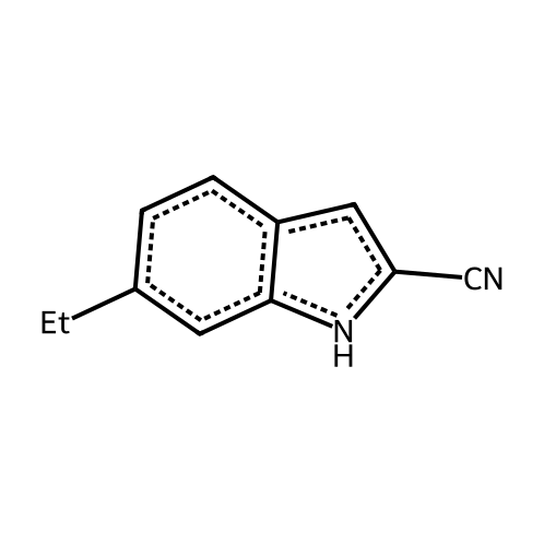 CCc1ccc2cc(C#N)[nH]c2c1